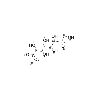 O=C(OF)C(O)C(O)C(O)C(O)C(O)C(O)CO